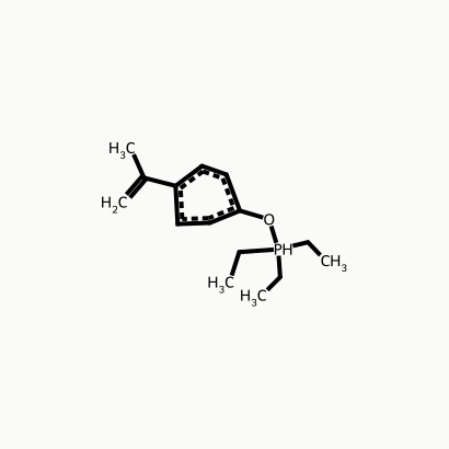 C=C(C)c1ccc(O[PH](CC)(CC)CC)cc1